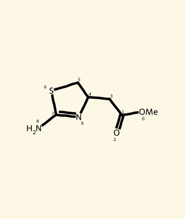 COC(=O)CC1CSC(N)=N1